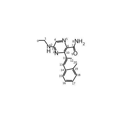 CCNc1cnc(C(N)=O)c(/C(C)=C/c2ccccc2C)n1